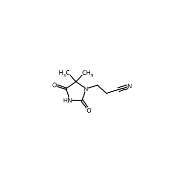 CC1(C)C(=O)NC(=O)N1CCC#N